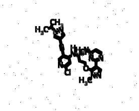 CC(C)n1cc(C#Cc2cnc(Cl)cc2N[C@@H](C)CCOc2c(-c3nccc(N)n3)cnn2C)cn1